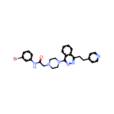 O=C(CN1CCN(c2nnc(CCc3ccncc3)c3ccccc23)CC1)Nc1cccc(Br)c1